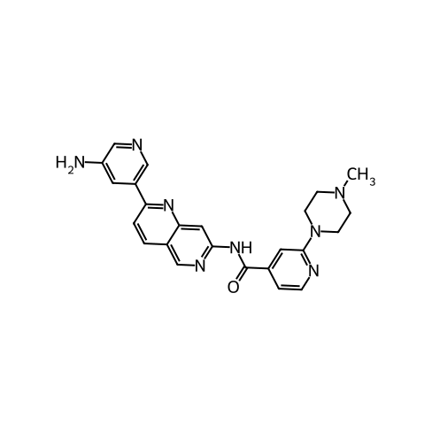 CN1CCN(c2cc(C(=O)Nc3cc4nc(-c5cncc(N)c5)ccc4cn3)ccn2)CC1